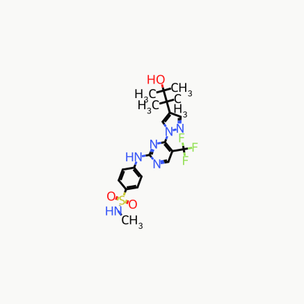 CNS(=O)(=O)c1ccc(Nc2ncc(C(F)(F)F)c(-n3cc(C(C)(C)C(C)(C)O)cn3)n2)cc1